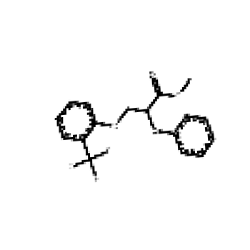 COC(=O)C(COc1ccccc1C(F)(F)F)Oc1ccccc1